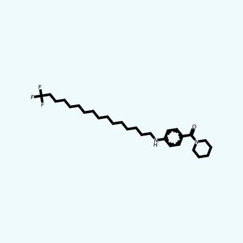 O=C(c1ccc(NCCCCCCCCCCCCCCCC(F)(F)F)cc1)N1CCCCC1